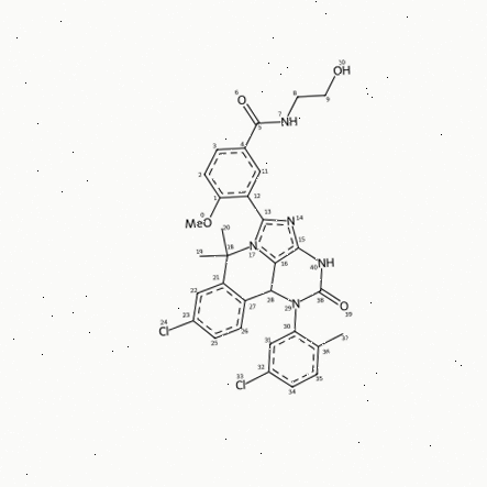 COc1ccc(C(=O)NCCO)cc1-c1nc2c3n1C(C)(C)c1cc(Cl)ccc1C3N(c1cc(Cl)ccc1C)C(=O)N2